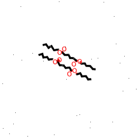 CCCCCCOC(=O)CCCCC(=O)OCCCCCC.CCCCCCOC(=O)CCCCC(=O)OCCCCCC